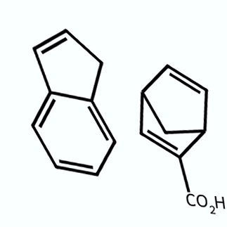 C1=Cc2ccccc2C1.O=C(O)C1=CC2C=CC1C2